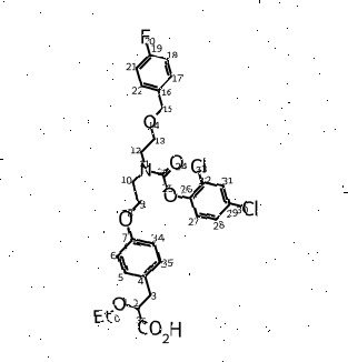 CCOC(Cc1ccc(OCCN(CCOCc2ccc(F)cc2)C(=O)Oc2ccc(Cl)cc2Cl)cc1)C(=O)O